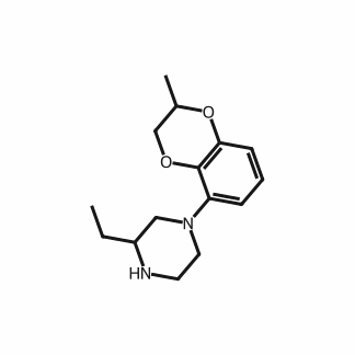 CCC1CN(c2cccc3c2OCC(C)O3)CCN1